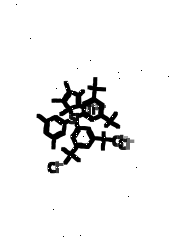 CC1=C(C)C(C)([Si](c2cc(C)cc(C)c2)(c2cc(C(C)(C)C)cc(C(C)(C)C)c2)c2cc(C(C)(C)C)cc(C(C)(C)C)c2)[C]([Ti+3])=C1C.[Cl-].[Cl-].[Cl-]